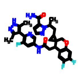 Cc1n[nH]c(C)c1-c1ncc(NC(=O)CC2c3cc(F)c(F)cc3OCC23CC3CC(C)n2nccc2C(N)=O)cc1F